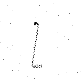 CCCCCCCC/C=C\CCCCCCCCCCC[CH]CCCCCCCCCCCCCCCC(C)C